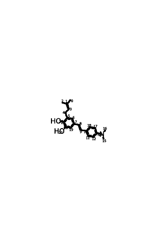 CC(C)=CCc1cc(C=Cc2ccc(N(C)C)cc2)cc(O)c1O